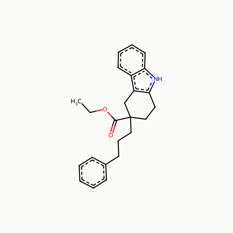 CCOC(=O)C1(CCCc2ccccc2)CCc2[nH]c3ccccc3c2C1